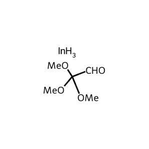 COC(C=O)(OC)OC.[InH3]